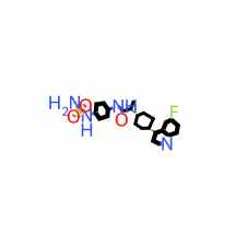 CC(C(=O)Nc1ccc(NS(N)(=O)=O)cc1)[C@H]1CC[C@@H](c2ccnc3ccc(F)cc32)CC1